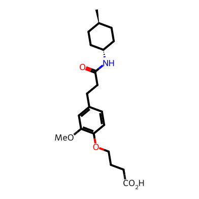 COc1cc(CCC(=O)N[C@H]2CC[C@H](C)CC2)ccc1OCCCC(=O)O